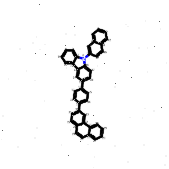 c1ccc2cc(-n3c4ccccc4c4cc(-c5ccc(-c6ccc7ccc8ccccc8c7c6)cc5)ccc43)ccc2c1